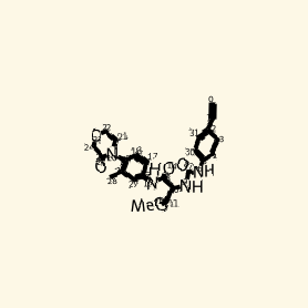 C#Cc1ccc(NC(=O)NC(COC)C(=O)Nc2ccc(N3CCOCC3=O)c(C)c2)cc1